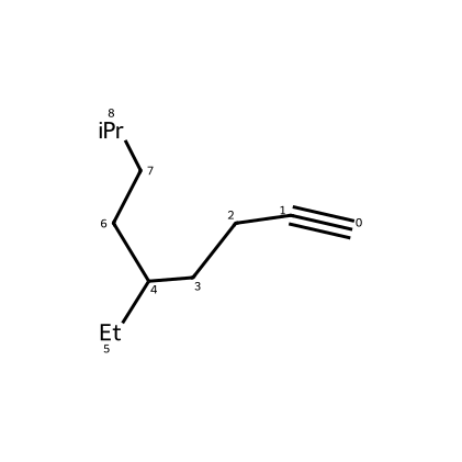 C#CCCC(CC)CCC([CH2])C